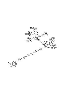 COCCN1c2ccc3c(S(=O)O)cc(S(=O)(=O)O)cc3c2C(C)(CCCS(=O)(=O)O)C1/C=C/C=C/C=C1/N(CCOCCOCCOCCOCCOCCOCCC(=O)OC2C(=O)CCC2=O)c2ccc3c(S(=O)(=O)O)cc(S(=O)(=O)O)cc3c2C1(C)C